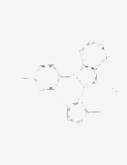 Cc1ccc(C)n1-c1c(C#N)c2ccccc2n1-c1ccc(O)c(F)c1